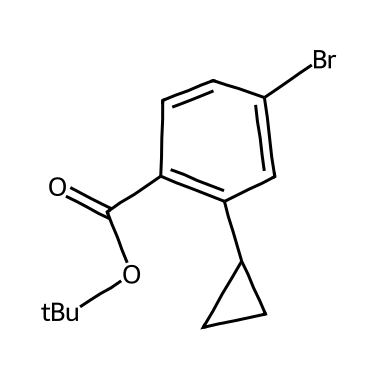 CC(C)(C)OC(=O)c1ccc(Br)cc1C1CC1